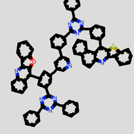 c1ccc(-c2nc(-c3ccccc3)nc(-c3cc(-c4cncc(-c5cccc(-c6nc(-c7ccccc7)nc(-c7cccc(-c8c9sc%10ccccc%10c9nc9ccc%10ccccc%10c89)c7)n6)c5)c4)cc(-c4c5ccccc5nc5c4oc4ccccc45)c3)n2)cc1